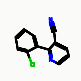 N#Cc1cccnc1-c1ccccc1Cl